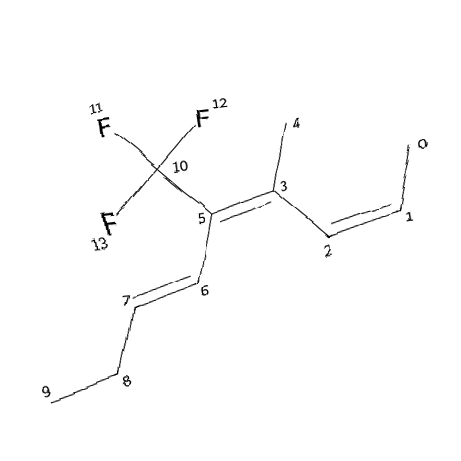 C\C=C/C(C)=C(\C=C\CC)C(F)(F)F